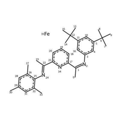 CC(=Nc1cc(C(C)(C)C)cc(C(C)(C)C)c1)c1cccc(C(C)=Nc2c(C)cc(C)cc2C)n1.[Fe]